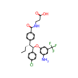 CCC[C@H](c1ccc(C(=O)NCCC(=O)O)cc1)[C@@H](Oc1cc(N)cc(C(F)(F)F)c1)c1ccc(Cl)cc1